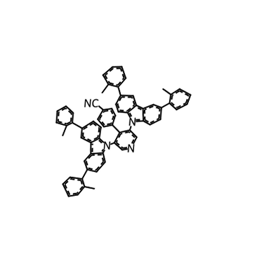 Cc1ccccc1-c1ccc2c(c1)c1cc(-c3ccccc3C)ccc1n2-c1cncc(-n2c3ccc(-c4ccccc4C)cc3c3cc(-c4ccccc4C)ccc32)c1-c1ccc(C#N)cc1